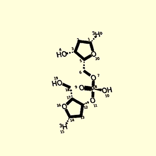 [3H][C@H]1C[C@@H](O)[C@@H](CO[P@](=O)(O)O[C@@H]2C[C@H]([3H])O[C@@H]2CO)O1